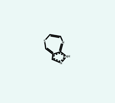 C1=CSC=c2cn[nH]c2=N1